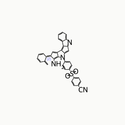 C=c1cccc/c1=C1\C=c2c3c(n(-c4ccc(S(=O)(=O)c5ccc(C#N)cc5)cc4)c2=C1N)=CC1=Nc2ccccc2C=31